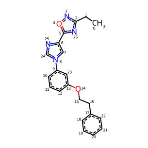 CCc1noc(-c2cn(-c3cccc(OCCc4ccccc4)c3)cn2)n1